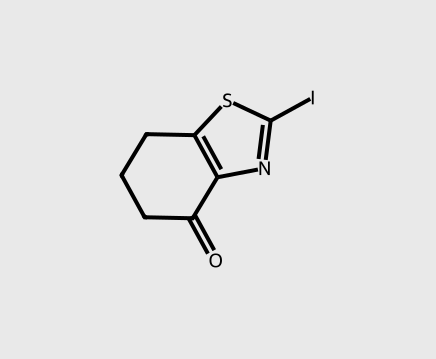 O=C1CCCc2sc(I)nc21